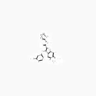 COc1cc2c(Sc3cccc(Cl)c3)c(C(=O)Nc3nnn[nH]3)sc2cc1C